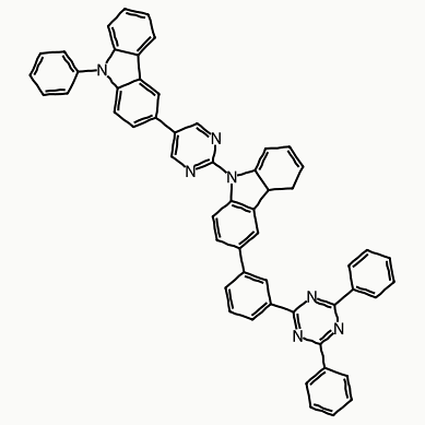 C1=CCC2C(=C1)N(c1ncc(-c3ccc4c(c3)c3ccccc3n4-c3ccccc3)cn1)c1ccc(-c3cccc(-c4nc(-c5ccccc5)nc(-c5ccccc5)n4)c3)cc12